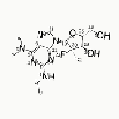 CCNc1nc(N(C)C)c2ncn([C@@H]3O[C@H](CO)[C@@H](O)[C@@]3(C)F)c2n1